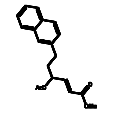 COC(=O)C=CC(CCc1ccc2ccccc2c1)OC(C)=O